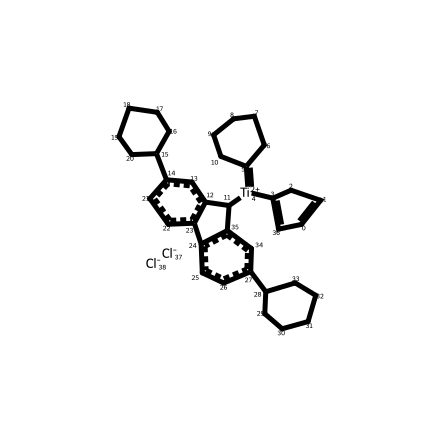 C1=CC[C]([Ti+2](=[C]2CCCCC2)[CH]2c3cc(C4CCCCC4)ccc3-c3ccc(C4CCCCC4)cc32)=C1.[Cl-].[Cl-]